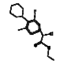 CCOC(=O)C(Cl)c1cc(C)c(C2CCCCC2)c(F)c1